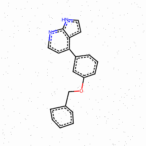 c1ccc(COc2cccc(-c3ccnc4[nH]ccc34)c2)cc1